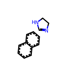 C1=NCCN1.c1ccc2ccccc2c1